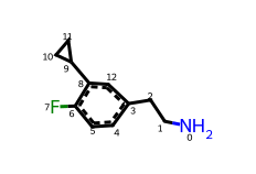 NCCc1ccc(F)c(C2CC2)c1